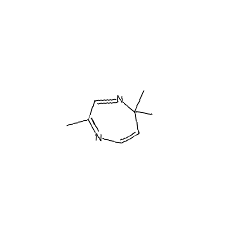 CC1=NC=CC(C)(C)N=C1